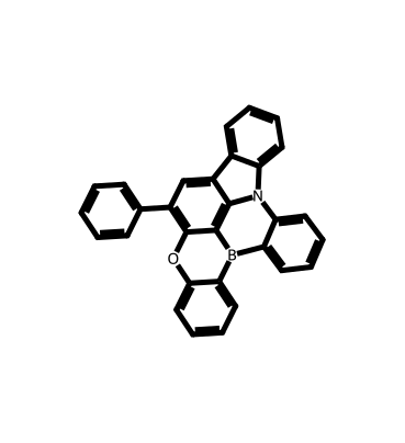 c1ccc(-c2cc3c4ccccc4n4c3c3c2Oc2ccccc2B3c2ccccc2-4)cc1